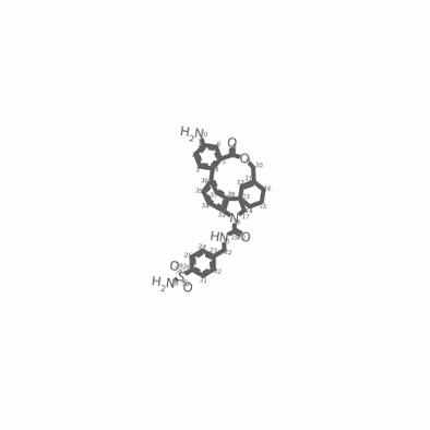 Nc1ccc2c(c1)C(=O)OCC1=CC3(CCC1)CN(C(=O)NCc1ccc(S(N)(=O)=O)cc1)c1ccc-2cc13